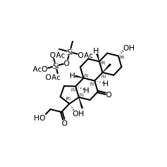 CC(=O)O[Si](C)(C)O[Si](OC(C)=O)(OC(C)=O)OC(C)=O.C[C@]12CC[C@@H](O)C[C@H]1CC[C@@H]1[C@@H]2C(=O)C[C@@]2(C)[C@H]1CC[C@]2(O)C(=O)CO